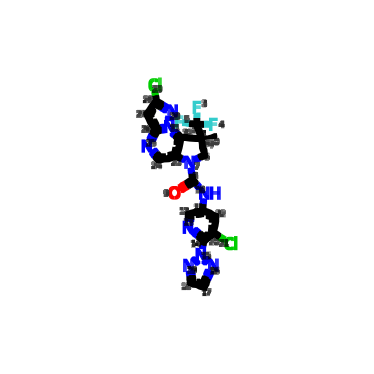 C[C@@]1(C(F)(F)F)CN(C(=O)Nc2cnc(-n3nccn3)c(Cl)c2)c2cnc3cc(Cl)nn3c21